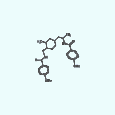 COc1ccc(C(=O)NCC2CCC(CC(C)NC(=O)c3ccc(OC)cc3)CC2C)cc1